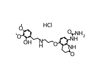 COc1ccc(CCNCCCOc2ccc(NC(N)=O)c3c2CCC(=O)N3)c(O)c1OC.Cl